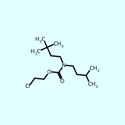 CC(C)CCN(CCC(C)(C)C)C(=O)OCCCl